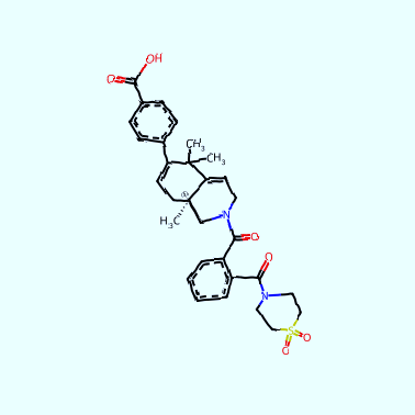 CC1(C)C(c2ccc(C(=O)O)cc2)=CC[C@]2(C)CN(C(=O)c3ccccc3C(=O)N3CCS(=O)(=O)CC3)CC=C12